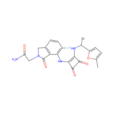 CCC(Nc1c(Nc2c(F)ccc3c2C(=O)N(CC(N)=O)C3)c(=O)c1=O)c1ccc(C)o1